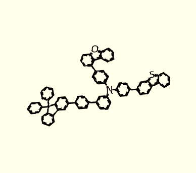 c1ccc(C2(c3ccccc3)c3ccccc3-c3cc(-c4ccc(-c5cccc(N(c6ccc(-c7ccc8c(c7)sc7ccccc78)cc6)c6ccc(-c7cccc8oc9ccccc9c78)cc6)c5)cc4)ccc32)cc1